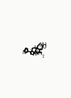 CC1C[C@]2(N)[C@H](CC[C@]3(C)C(c4cccnc4)=CC[C@@H]23)[C@@]2(C)CCNC(=O)C=C12